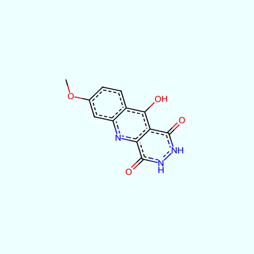 COc1ccc2c(O)c3c(=O)[nH][nH]c(=O)c3nc2c1